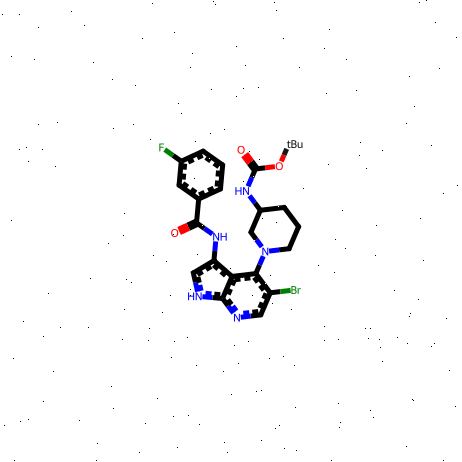 CC(C)(C)OC(=O)NC1CCCN(c2c(Br)cnc3[nH]cc(NC(=O)c4cccc(F)c4)c23)C1